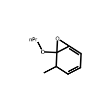 CCCOC12OC1=CC=CC2C